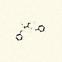 O=C=C(SCc1ccccc1)C(NOCc1ccccc1)C(=O)O